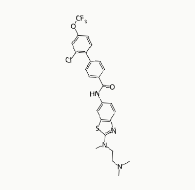 CN(C)CCN(C)c1nc2ccc(NC(=O)c3ccc(-c4ccc(OC(F)(F)F)cc4Cl)cc3)cc2s1